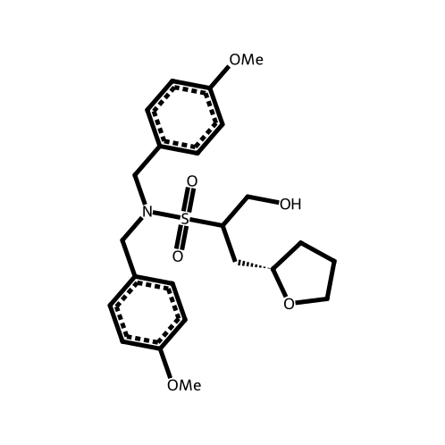 COc1ccc(CN(Cc2ccc(OC)cc2)S(=O)(=O)C(CO)C[C@@H]2CCCO2)cc1